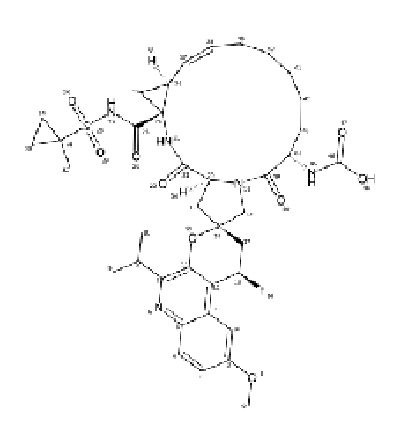 COc1ccc2nc(C(C)C)c3c(c2c1)[C@H](F)C[C@]1(C[C@H]2C(=O)N[C@]4(C(=O)NS(=O)(=O)C5(C)CC5)C[C@H]4/C=C\CCCCC[C@H](NC(=O)O)C(=O)N2C1)O3